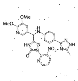 COc1cc(C(Nc2ccc(-c3n[nH]c(C)n3)cc2)c2nn(-c3ncccc3[N+](=O)[O-])c(=O)[nH]2)cnc1OC